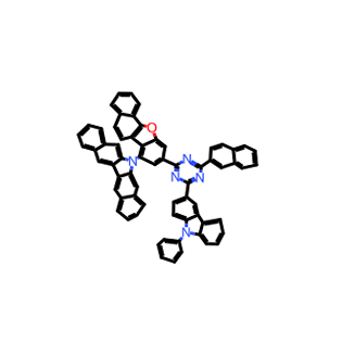 c1ccc(-n2c3ccccc3c3cc(-c4nc(-c5ccc6ccccc6c5)nc(-c5cc(-n6c7cc8ccccc8cc7c7cc8ccccc8cc76)c6c(c5)oc5c7ccccc7ccc56)n4)ccc32)cc1